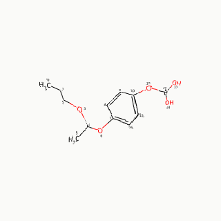 CCCOC(C)Oc1ccc(OB(O)O)cc1